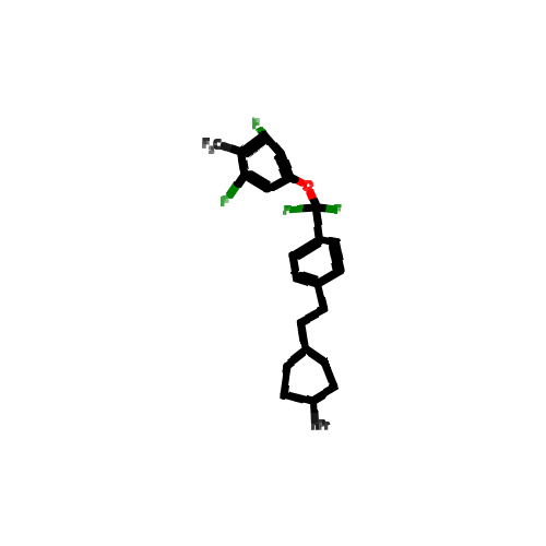 CCCC1CCC(CCc2ccc(C(F)(F)Oc3cc(F)c(C(F)(F)F)c(F)c3)cc2)CC1